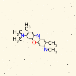 C/N=c1/cc2oc3cc(N(C)C)c(C)cc3nc-2cc1C